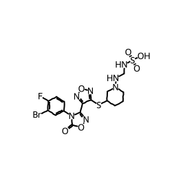 O=c1onc(-c2nonc2SC2CCCN(NCNS(=O)(=O)O)C2)n1-c1ccc(F)c(Br)c1